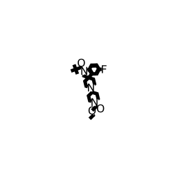 CCOC(=O)N1CCC(N2CCC3(CC2)CN(C(=O)C(C)(C)C)c2ccc(F)cc23)CC1